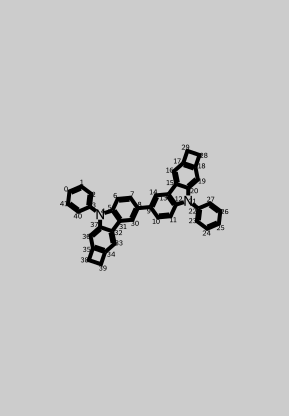 c1ccc(-n2c3ccc(-c4ccc5c(c4)c4cc6c(cc4n5-c4ccccc4)CC6)cc3c3cc4c(cc32)CC4)cc1